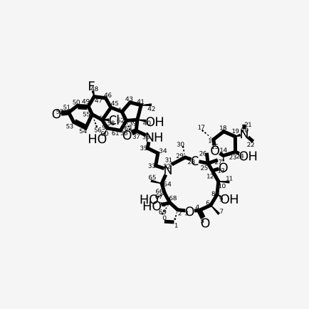 CC[C@H]1OC(=O)[C@H](C)[C@@H](O)[C@H](C)C(O[C@@H]2O[C@H](C)C[C@@H](N(C)C)C2O)C(C)(C)C[C@@H](C)CN(CCCNC(=O)[C@@]2(O)[C@H](C)CC3C4C[C@H](F)C5=CC(=O)C=C[C@]5(C)[C@@]4(Cl)[C@@H](O)C[C@@]32C)[C@H](C)[C@@H](O)[C@]1(C)O